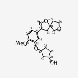 COc1ccc(C2=NOC3(CCOC3)C2)cc1OC1CCC(O)C1